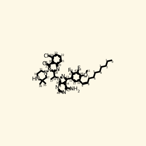 CCCCCCCC/C=C\c1cc(-c2nn(C(C)c3nc4cccc(Cl)c4c(=O)n3N3CCNC(C)(C)C3)c3ncnc(N)c23)c(F)c(F)c1OC